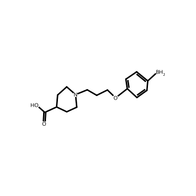 Bc1ccc(OCCCN2CCC(C(=O)O)CC2)cc1